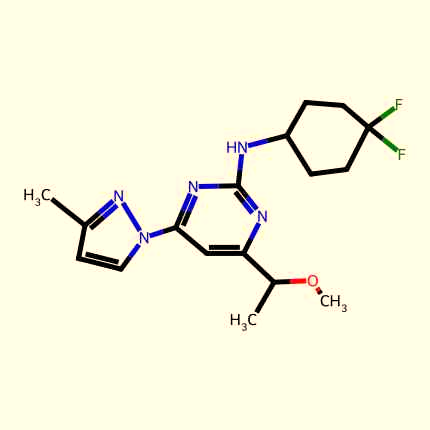 COC(C)c1cc(-n2ccc(C)n2)nc(NC2CCC(F)(F)CC2)n1